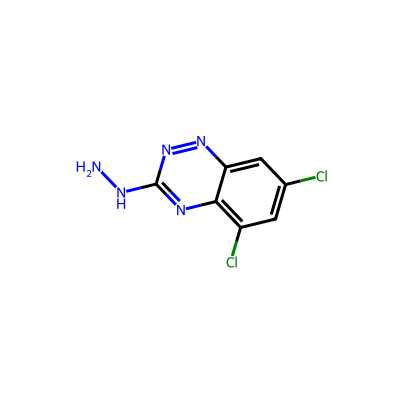 NNc1nnc2cc(Cl)cc(Cl)c2n1